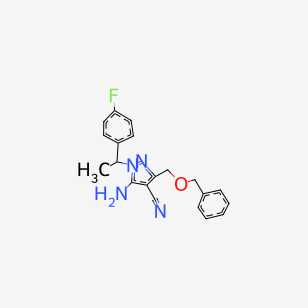 CC(c1ccc(F)cc1)n1nc(COCc2ccccc2)c(C#N)c1N